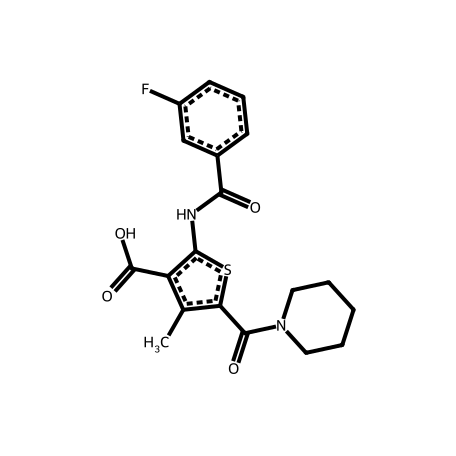 Cc1c(C(=O)N2CCCCC2)sc(NC(=O)c2cccc(F)c2)c1C(=O)O